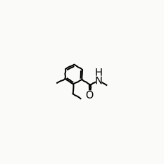 CCc1c(C)cccc1C(=O)NC